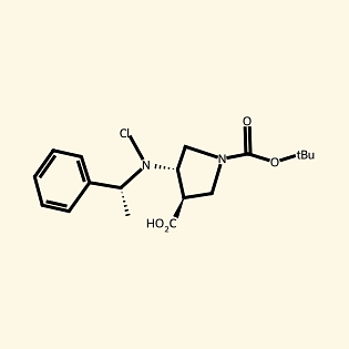 C[C@H](c1ccccc1)N(Cl)[C@@H]1CN(C(=O)OC(C)(C)C)C[C@H]1C(=O)O